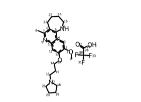 COc1cc2c3c(c(C)nc2cc1OCCCN1CCCC1)CCCCN3.O=C(O)C(F)(F)F